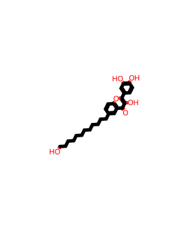 O=c1c(O)c(-c2ccc(O)c(O)c2)oc2ccc(CCCCCCCCCCCCO)cc12